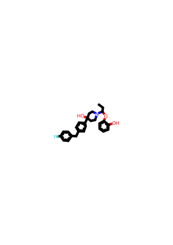 CCC(Oc1ccccc1O)N1CCC(O)(c2ccc(Cc3ccc(F)cc3)cc2)CC1